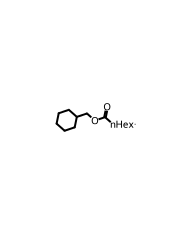 CCCCC[CH]C(=O)OCC1CCCCC1